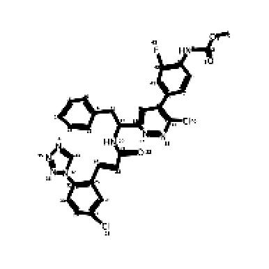 COC(=O)Nc1ccc(-c2cc(C(Cc3ccccc3)NC(=O)/C=C/c3cc(Cl)ccc3-n3cnnn3)nnc2Cl)cc1F